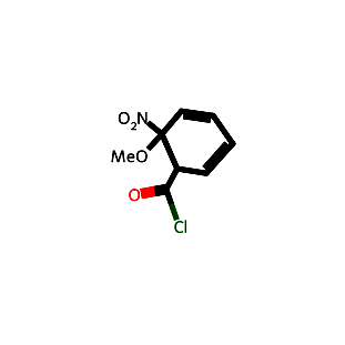 COC1([N+](=O)[O-])C=CC=CC1C(=O)Cl